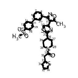 Cc1onc(-c2cccc(-c3ccc(S(C)(=O)=O)cc3)c2)c1-c1csc(C2CCN(C(=O)Cc3cccs3)CC2)n1